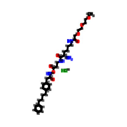 COCCOCCOCC(=O)NCCCC[C@H](N)C(=O)NCCC(=O)ONC(=O)Cc1ccc(CCCCc2ccccc2)cc1.Cl